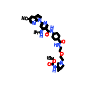 CC(C)Nc1cc(-n2ccc3cc(C#N)cnc32)ncc1C(=O)NC1CCC(C(=O)NCCOCCN2CC3CC3(NC(=O)OC(C)(C)C)C2)CC1